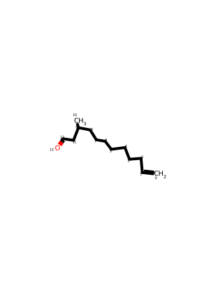 C=CCCCCCCCC(C)C[C]=O